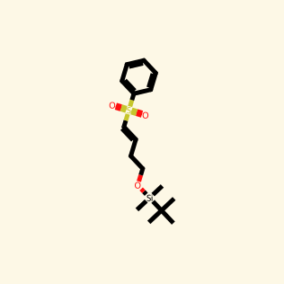 CC(C)(C)[Si](C)(C)OCCC=CS(=O)(=O)c1ccccc1